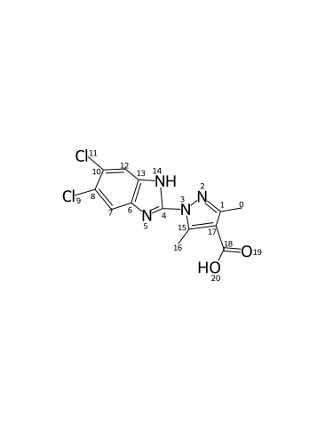 Cc1nn(-c2nc3cc(Cl)c(Cl)cc3[nH]2)c(C)c1C(=O)O